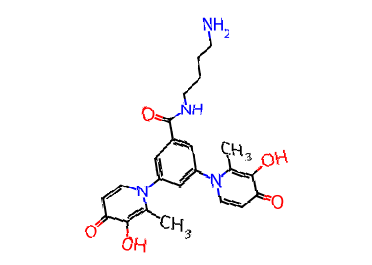 Cc1c(O)c(=O)ccn1-c1cc(C(=O)NCCCCN)cc(-n2ccc(=O)c(O)c2C)c1